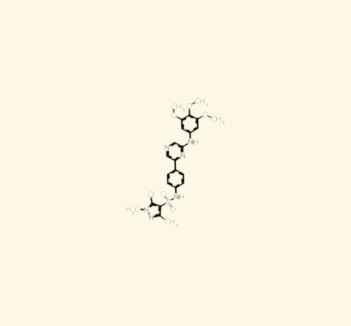 COc1cc(Nc2cncc(-c3ccc(NS(=O)(=O)c4c(C)nn(C)c4Cl)cc3)n2)cc(OC)c1OC